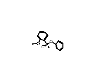 COc1ccccc1P(C)(=O)Oc1ccccc1